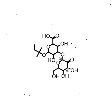 CCC(C)(C)OC1OC(C(=O)O)C(O)C(O[C@@H]2OC(CO)C(O)[C@H](O)C2=O)C1O